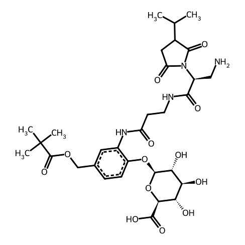 CC(C)C1CC(=O)N([C@@H](CN)C(=O)NCCC(=O)Nc2cc(COC(=O)C(C)(C)C)ccc2O[C@@H]2O[C@H](C(=O)O)[C@@H](O)[C@H](O)[C@H]2O)C1=O